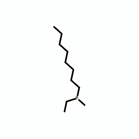 CCCCCCCCP(C)CC